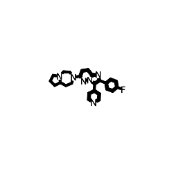 Fc1ccc(-c2nc3ccc(N4CCC5CCCN5CC4)nn3c2-c2ccncc2)cc1